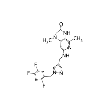 Cc1nc(NCc2cnn(Cc3cc(F)c(F)cc3F)c2)cc2c1NC(=O)CN2C